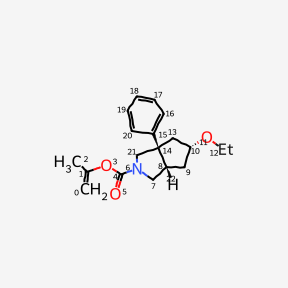 C=C(C)OC(=O)N1C[C@H]2C[C@@H](OCC)C[C@@]2(c2ccccc2)C1